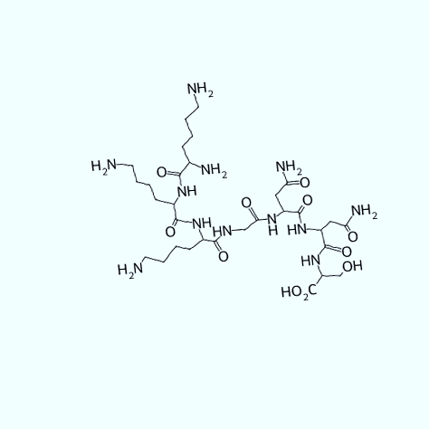 NCCCCC(N)C(=O)NC(CCCCN)C(=O)NC(CCCCN)C(=O)NCC(=O)NC(CC(N)=O)C(=O)NC(CC(N)=O)C(=O)NC(CO)C(=O)O